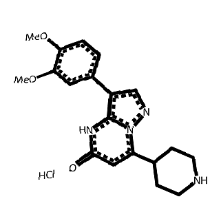 COc1ccc(-c2cnn3c(C4CCNCC4)cc(=O)[nH]c23)cc1OC.Cl